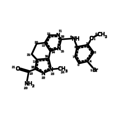 COc1cc(Br)ccc1Nc1ncc2c(n1)-c1c(c(C(N)=O)nn1C)CC2